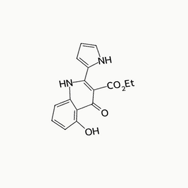 CCOC(=O)c1c(-c2ccc[nH]2)[nH]c2cccc(O)c2c1=O